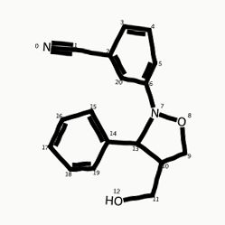 N#Cc1cccc(N2OCC(CO)C2c2ccccc2)c1